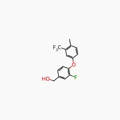 Cc1ccc(Oc2ccc(CO)cc2F)cc1C(F)(F)F